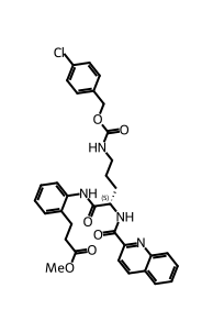 COC(=O)CCc1ccccc1NC(=O)[C@H](CCCNC(=O)OCc1ccc(Cl)cc1)NC(=O)c1ccc2ccccc2n1